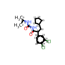 CC(C)NC(=O)NC(=O)C(CC1CCCC1)c1ccc(Cl)c(Cl)c1